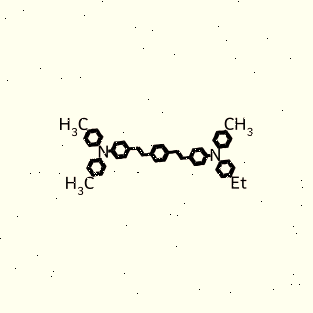 CCc1ccc(N(c2ccc(C)cc2)c2ccc(C=Cc3ccc(C=Cc4ccc(N(c5ccc(C)cc5)c5ccc(C)cc5)cc4)cc3)cc2)cc1